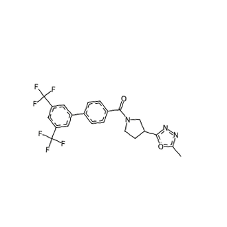 Cc1nnc(C2CCN(C(=O)c3ccc(-c4cc(C(F)(F)F)cc(C(F)(F)F)c4)cc3)C2)o1